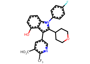 O=C(O)c1cc(-c2c(C3CCOCC3)n(-c3ccc(F)cc3)c3cccc(O)c23)cnc1C(F)(F)F